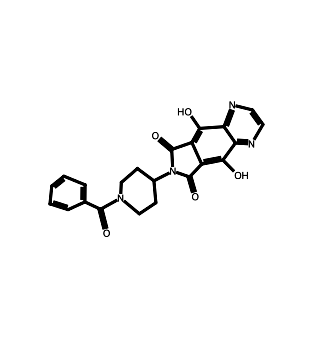 O=C(c1ccccc1)N1CCC(N2C(=O)c3c(c(O)c4nccnc4c3O)C2=O)CC1